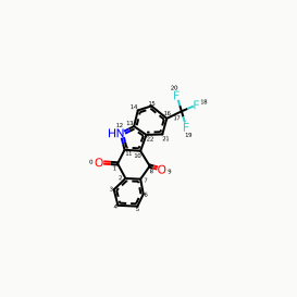 O=C1c2ccccc2C(=O)c2c1[nH]c1ccc(C(F)(F)F)cc21